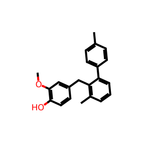 COc1cc(Cc2c(C)cccc2-c2ccc(C)cc2)ccc1O